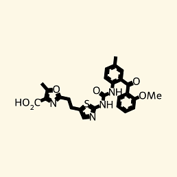 COc1ccccc1C(=O)c1cc(C)ccc1NC(=O)Nc1ncc(CCc2nc(C(=O)O)c(C)o2)s1